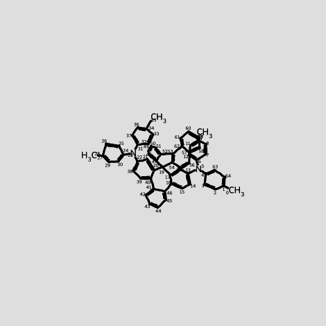 Cc1ccc(N(c2ccc(C)cc2)c2ccc3c(c2)C2(c4cc(N(c5ccc(C)cc5)c5ccc(C)cc5)ccc4-c4ccccc4-3)c3ccccc3-c3c2ccc2ccccc32)cc1